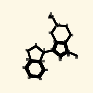 CC(=O)N1CCc2c(c(N3CCc4ccccc43)nn2C)C1